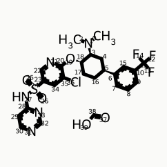 CN(C)[C@H]1C[C@@H](c2cccc(C(F)(F)F)c2)CC[C@@H]1Oc1ncc(S(=O)(=O)Nc2ccncn2)cc1Cl.O=CO